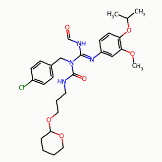 COc1cc(/N=C(\NC=O)N(Cc2ccc(Cl)cc2)C(=O)NCCCOC2CCCCO2)ccc1OC(C)C